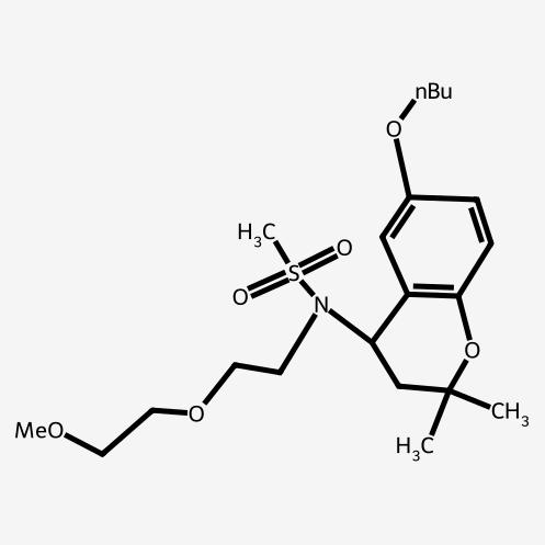 CCCCOc1ccc2c(c1)C(N(CCOCCOC)S(C)(=O)=O)CC(C)(C)O2